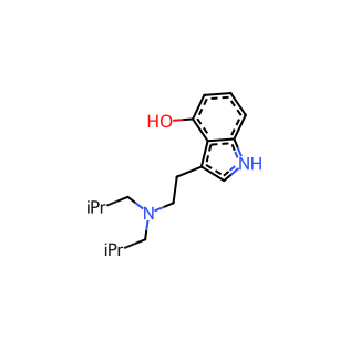 CC(C)CN(CCc1c[nH]c2cccc(O)c12)CC(C)C